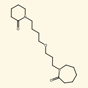 O=C1CCCCN1CCCCOCCCN1CCCCCC1=O